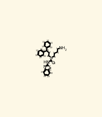 NCCCCN(CCC(c1ccccc1)c1ccccc1)C(=O)Nc1nc2ccccc2s1